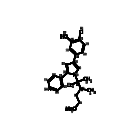 CCC(C)(N(C)CCOC)n1cc(-c2ccc(Cl)c(O)c2)nc1-c1ccncc1